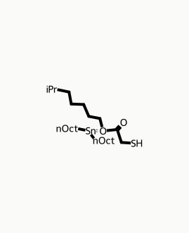 CC(C)CCCCCOC(=O)CS.CCCCCCC[CH2][Sn][CH2]CCCCCCC